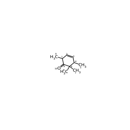 CC1C=CC(C)C(C)(C)C1=O